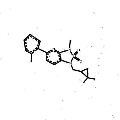 Cc1ccccc1-c1ccc2c(n1)N(C)S(=O)(=O)N2CC1CC1(F)F